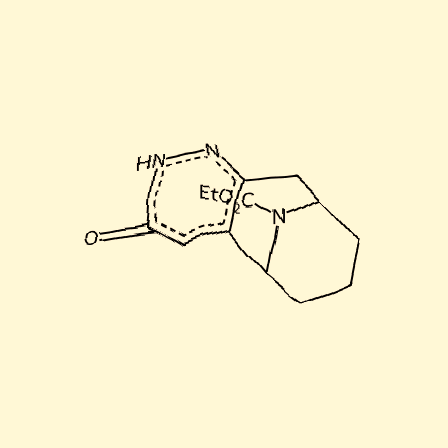 CCOC(=O)N1C2CCCC1c1cc(=O)[nH]nc1C2